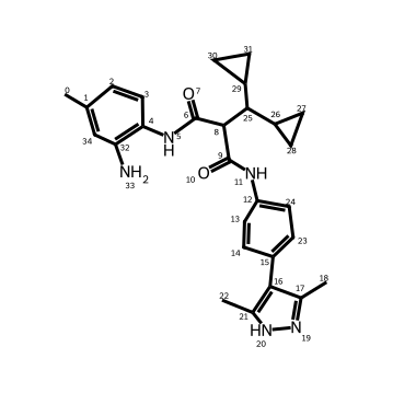 Cc1ccc(NC(=O)C(C(=O)Nc2ccc(-c3c(C)n[nH]c3C)cc2)C(C2CC2)C2CC2)c(N)c1